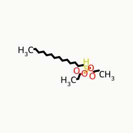 CCCCCCCCCCCCCC[SH](OC(=O)CC)OC(=O)CC